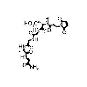 C[C@H](NC(=O)CNC(=O)CNC(=O)[C@H](CC(=O)O)NC(=O)CCN1C(=O)C=CC1=O)C(=O)NCC(N)=O